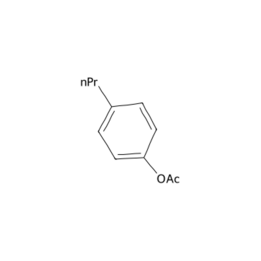 [CH2]CCc1ccc(OC(C)=O)cc1